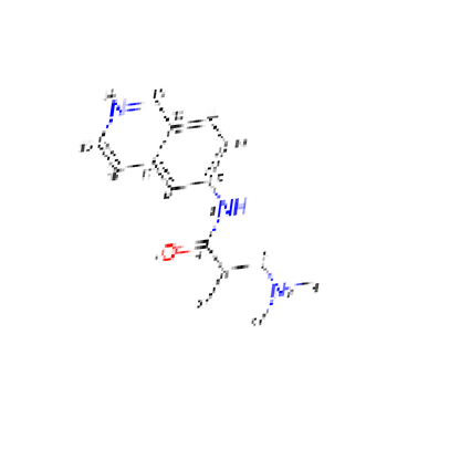 CC(CN(C)C)C(=O)Nc1ccc2cnccc2c1